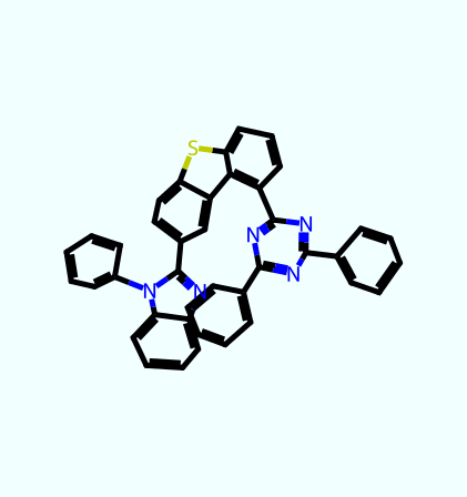 c1ccc(-c2nc(-c3ccccc3)nc(-c3cccc4sc5ccc(-c6nc7ccccc7n6-c6ccccc6)cc5c34)n2)cc1